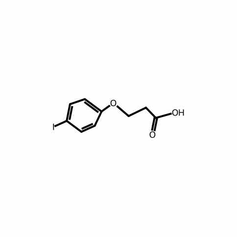 O=C(O)CCOc1ccc(I)cc1